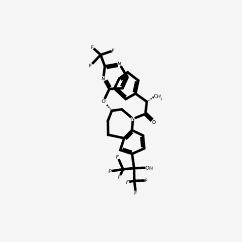 C[C@H](C(=O)N1C[C@@H](Oc2ccnc(C(F)(F)F)n2)CCc2cc(C(O)(C(F)(F)F)C(F)(F)F)ccc21)c1ccccc1